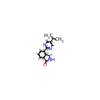 CC(C)c1cnc(-c2cccc3c2CNC3=O)nc1